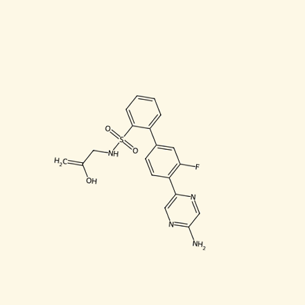 C=C(O)CNS(=O)(=O)c1ccccc1-c1ccc(-c2cnc(N)cn2)c(F)c1